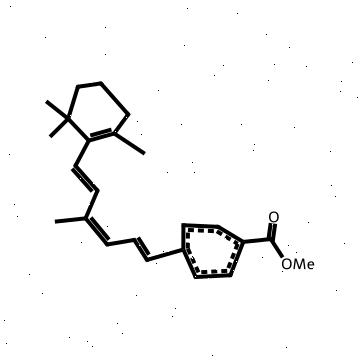 COC(=O)c1ccc(C=CC=C(C)C=CC2=C(C)CCCC2(C)C)cc1